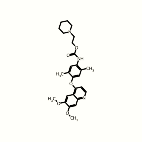 COc1cc2nccc(Oc3cc(C)c(NC(=O)OCCN4CCCCC4)cc3C)c2cc1OC